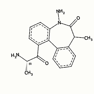 CC1C(=O)N(N)c2cccc(C(=O)[C@H](C)N)c2-c2ccccc21